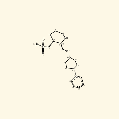 NS(=O)(=O)C[C@H]1CCCN[C@H]1CO[C@H]1CC[C@@H](c2ccccc2)CC1